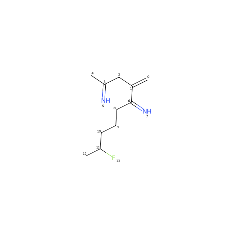 C=C(CC(C)=N)C(=N)CCCC(C)F